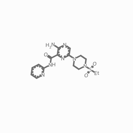 CCS(=O)(=O)N1CCN(c2cnc(N)c(C(=O)Nc3ccccn3)n2)CC1